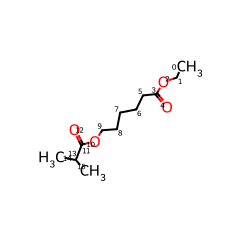 CCOC(=O)CCCCCOC(=O)C(C)C